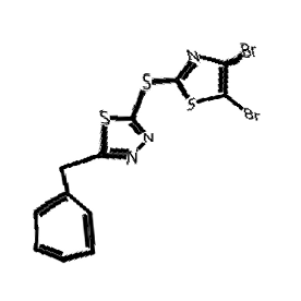 Brc1nc(Sc2nnc(Cc3ccccc3)s2)sc1Br